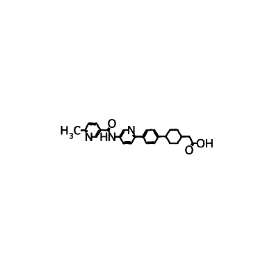 Cc1ccc(C(=O)Nc2ccc(-c3ccc(C4CCC(CC(=O)O)CC4)cc3)nc2)cn1